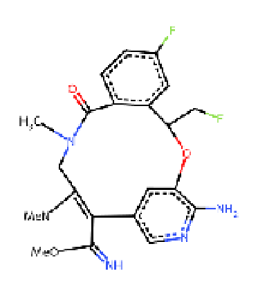 CN/C1=C(\C(=N)OC)c2cnc(N)c(c2)OC(CF)c2cc(F)ccc2C(=O)N(C)C1